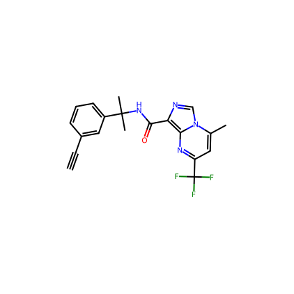 C#Cc1cccc(C(C)(C)NC(=O)c2ncn3c(C)cc(C(F)(F)F)nc23)c1